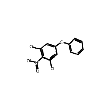 O=[N+]([O-])c1c(Cl)cc(Oc2ccccc2)cc1Cl